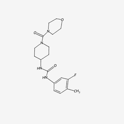 Cc1ccc(NC(=O)NC2CCN(C(=O)N3CCOCC3)CC2)cc1F